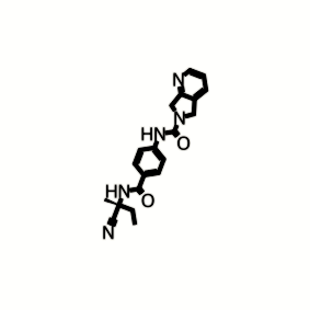 CC[C@](C)(C#N)NC(=O)c1ccc(NC(=O)N2Cc3cccnc3C2)cc1